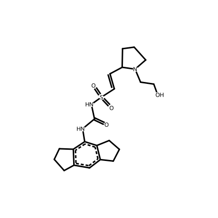 O=C(Nc1c2c(cc3c1CCC3)CCC2)NS(=O)(=O)/C=C/C1CCCN1CCO